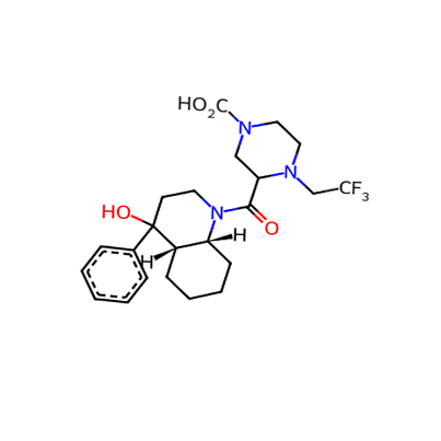 O=C(O)N1CCN(CC(F)(F)F)C(C(=O)N2CCC(O)(c3ccccc3)[C@H]3CCCC[C@H]32)C1